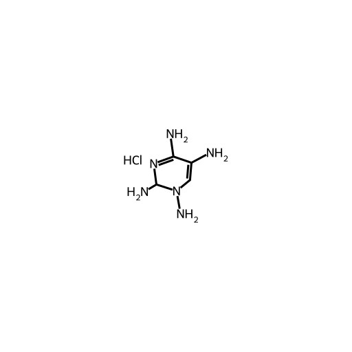 Cl.NC1=CN(N)C(N)N=C1N